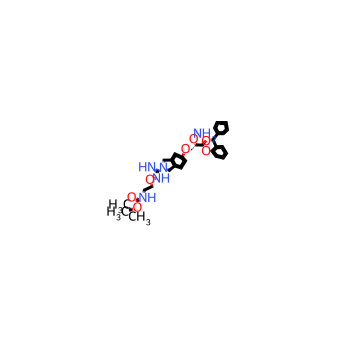 CC(C)(C)OC(=O)NCCONC(=N)N1Cc2ccc(OC[C@H](ON)C(=O)OC(c3ccccc3)c3ccccc3)cc2C1